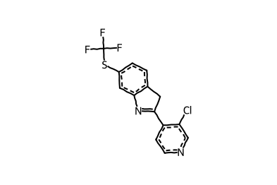 FC(F)(F)Sc1ccc2c(c1)N=C(c1ccncc1Cl)C2